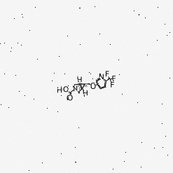 O=C(O)N1C[C@@H]2[C@H](COc3ccc(C(F)(F)F)nc3)[C@@H]2C1